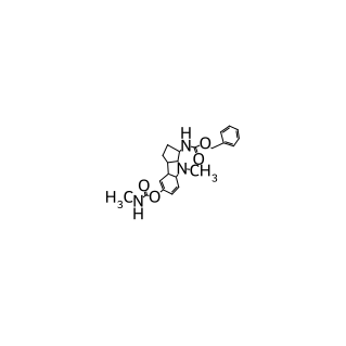 CNC(=O)OC1=CC2C3CCC(NC(=O)OCc4ccccc4)C3N(C)C2C=C1